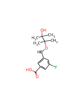 CC(C)(O)C(C)(C)OBc1cc(F)cc(C(=O)O)c1